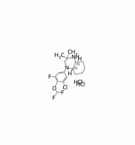 CC1(C)CN(c2cc(F)c(OC(F)F)c(Cl)c2)[C@H]2CCCC[C@@H]2N1.Cl.Cl